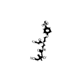 CC(C)(CO)[C@@H](O)C(=O)NCCN(CCOc1ccc(S(C)(=O)=O)cc1)C(=O)CCl